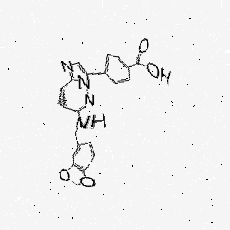 O=C(O)c1ccc(-c2cnc3ccc(NCc4ccc5c(c4)OCO5)nn23)cc1